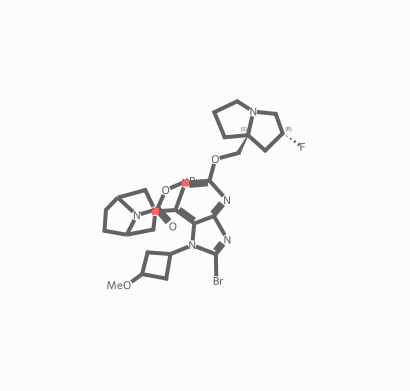 COC1CC(n2c(Br)nc3nc(OC[C@@]45CCCN4C[C@H](F)C5)nc(N4CC5CCC(C4)N5C(=O)OC(C)(C)C)c32)C1